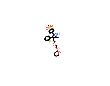 Cc1[nH]c(-c2ccc(S(C)(=O)=O)cc2)c(-c2ccccc2F)c1CCOCCOC1CCCCO1